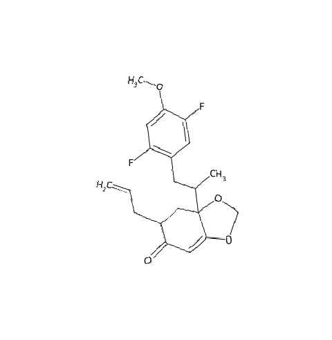 C=CCC1CC2(C(C)Cc3cc(F)c(OC)cc3F)OCOC2=CC1=O